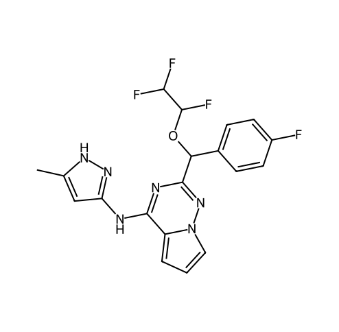 Cc1cc(Nc2nc(C(OC(F)C(F)F)c3ccc(F)cc3)nn3cccc23)n[nH]1